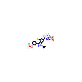 CC1(NC(=O)c2cc(F)c3c(-c4cccc(OC(F)F)c4)nn(C4CC4)c3c2)CS(=O)(=O)C1